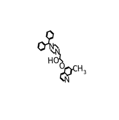 Cc1cc(OCC(O)CN2CCN(C(c3ccccc3)c3ccccc3)CC2)c2cccnc2c1